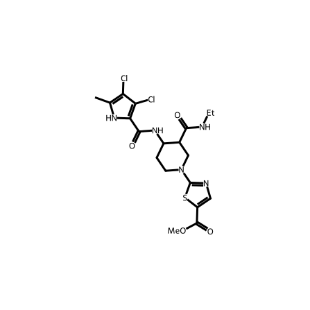 CCNC(=O)C1CN(c2ncc(C(=O)OC)s2)CCC1NC(=O)c1[nH]c(C)c(Cl)c1Cl